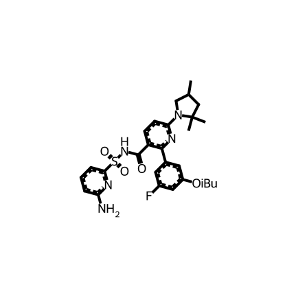 CC(C)COc1cc(F)cc(-c2nc(N3CC(C)CC3(C)C)ccc2C(=O)NS(=O)(=O)c2cccc(N)n2)c1